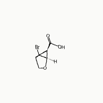 O=C(O)[C@H]1[C@H]2OCCC21Br